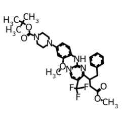 COC(=O)CC(Cc1ccccc1)c1nc(Nc2ccc(N3CCN(C(=O)OC(C)(C)C)CC3)cc2OC)ncc1C(F)(F)F